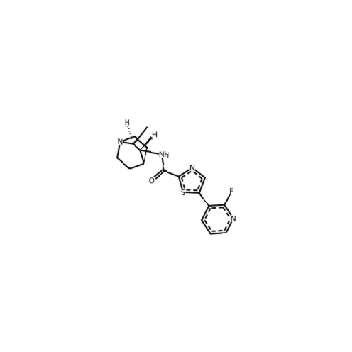 C[C@H]1[C@H](NC(=O)c2ncc(-c3cccnc3F)s2)C2CCN1CC2